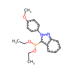 CCOP(OCC)c1c2ccccc2nn1-c1ccc(OC)cc1